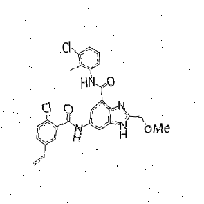 C=Cc1ccc(Cl)c(C(=O)Nc2cc(C(=O)Nc3cccc(Cl)c3C)c3nc(COC)[nH]c3c2)c1